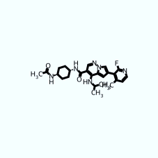 CC(=O)N[C@H]1CC[C@H](NC(=O)c2cnn3cc(-c4c(C)ccnc4F)cc3c2NC(C)C)CC1